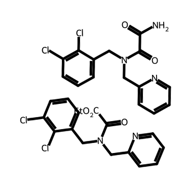 CCOC(=O)C(=O)N(Cc1ccccn1)Cc1cccc(Cl)c1Cl.NC(=O)C(=O)N(Cc1ccccn1)Cc1cccc(Cl)c1Cl